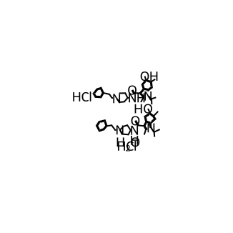 Cc1cc2c(cc1O)c(C(=O)NC1CCN(CCc3ccccc3)CC1)c(C)n2C(C)C.Cc1cc2c(cc1O)c(C(=O)NC1CCN(CCc3ccccc3)CC1)c(C)n2C(C)C.Cl.Cl.O